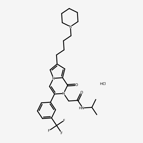 CC(C)NC(=O)Cn1c(-c2cccc(C(F)(F)F)c2)cn2cc(CCCCN3CCCCC3)cc2c1=O.Cl